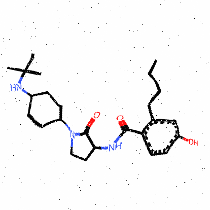 CCCCc1cc(O)ccc1C(=O)NC1CCN(C2CCC(NC(C)(C)C)CC2)C1=O